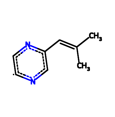 CC(C)=Cc1cn[c]cn1